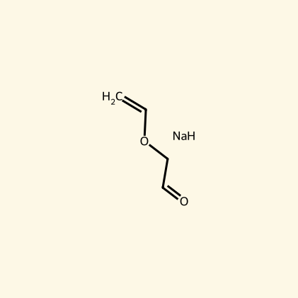 C=COCC=O.[NaH]